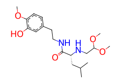 COc1ccc(CCNC(=O)[C@@H](CC(C)C)NCC(OC)OC)cc1O